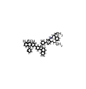 C=CCCc1cnc(-c2cccc(-n3c4cc(-c5ccc6c(c5)N(c5ccccc5)c5ccccc5C6(C)C)ccc4c4c5ccccc5ccc43)c2)nc1/C=C/CC(C=C)c1ccccc1